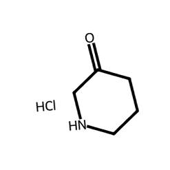 Cl.O=C1CCCNC1